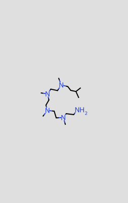 CC(C)CCN(C)CCN(C)CCN(C)CCN(C)CCN